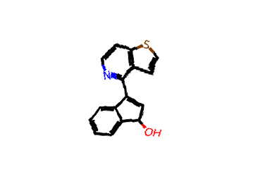 OC1C=C(c2nccc3sccc23)c2ccccc21